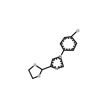 Clc1ccc(-n2cnc(C3OCCO3)c2)cc1